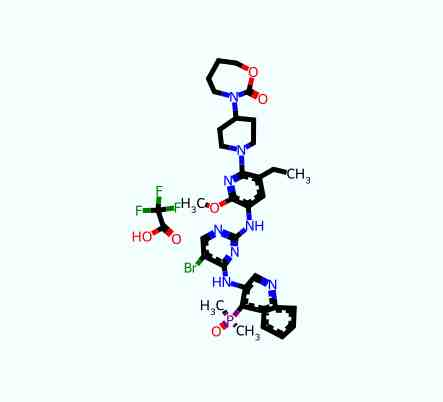 CCc1cc(Nc2ncc(Br)c(Nc3cnc4ccccc4c3P(C)(C)=O)n2)c(OC)nc1N1CCC(N2CCCCOC2=O)CC1.O=C(O)C(F)(F)F